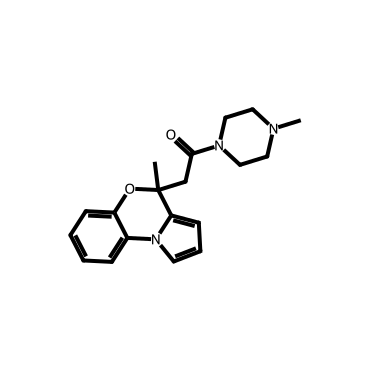 CN1CCN(C(=O)CC2(C)Oc3ccccc3-n3cccc32)CC1